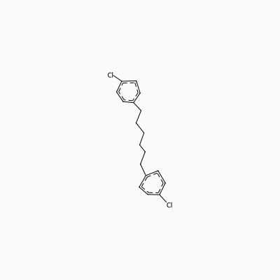 Clc1ccc(CCCCCCc2ccc(Cl)cc2)cc1